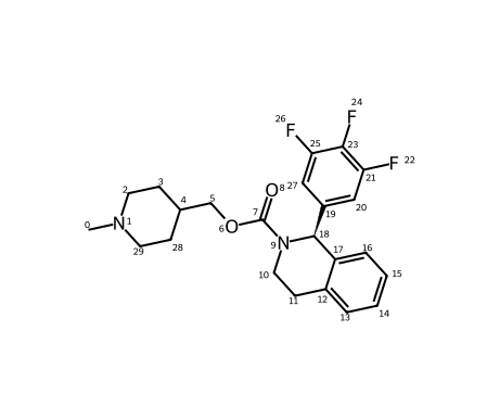 CN1CCC(COC(=O)N2CCc3ccccc3[C@@H]2c2cc(F)c(F)c(F)c2)CC1